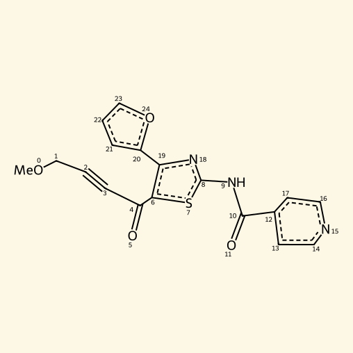 COCC#CC(=O)c1sc(NC(=O)c2ccncc2)nc1-c1ccco1